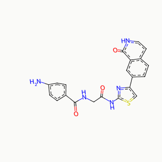 Nc1ccc(C(=O)NCC(=O)Nc2nc(-c3ccc4cc[nH]c(=O)c4c3)cs2)cc1